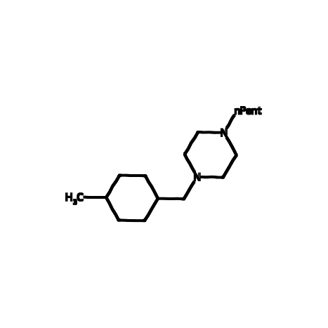 CCCCCN1CCN(CC2CCC(C)CC2)CC1